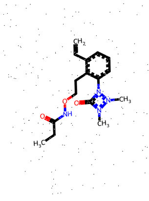 C=Cc1cccc(-n2c(=O)n(C)n2C)c1CCONC(=O)CC